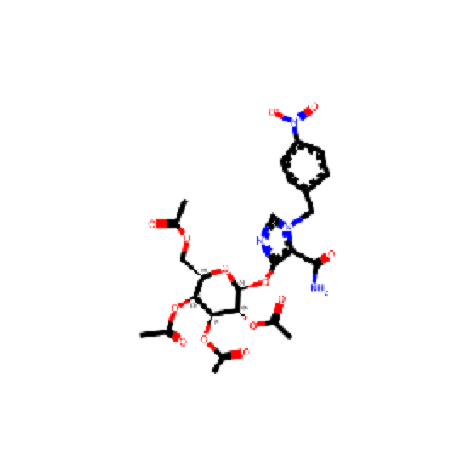 CC(=O)OC[C@H]1O[C@@H](Oc2ncn(Cc3ccc([N+](=O)[O-])cc3)c2C(N)=O)[C@H](OC(C)=O)[C@@H](OC(C)=O)[C@H]1OC(C)=O